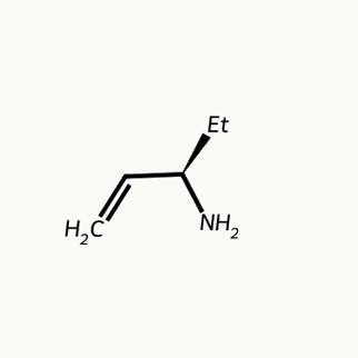 C=C[C@H](N)CC